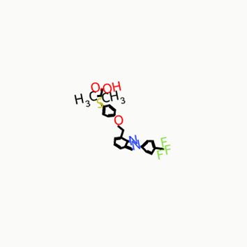 CC(C)(Sc1ccc(OCCc2cccc3cn(-c4ccc(C(F)(F)F)cc4)nc23)cc1)C(=O)O